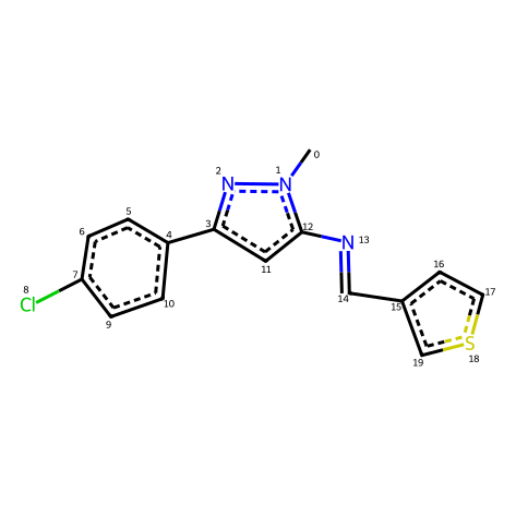 Cn1nc(-c2ccc(Cl)cc2)cc1N=Cc1ccsc1